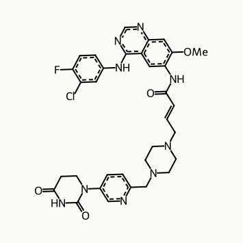 COc1cc2ncnc(Nc3ccc(F)c(Cl)c3)c2cc1NC(=O)/C=C/CN1CCN(Cc2ccc(N3CCC(=O)NC3=O)cn2)CC1